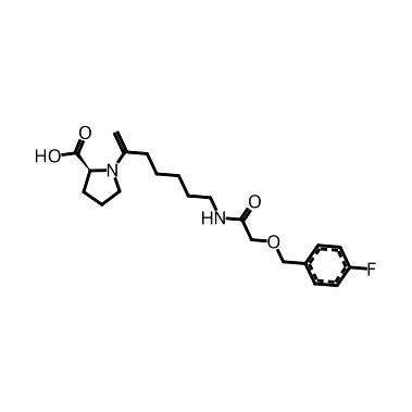 C=C(CCCCCNC(=O)COCc1ccc(F)cc1)N1CCC[C@H]1C(=O)O